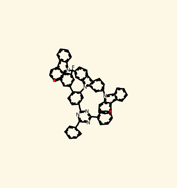 Fc1cc(F)cc(-c2ccc(-c3nc(-c4ccccc4)nc(-c4ccccc4)n3)cc2-n2c3cc(-n4c5ccccc5c5ccccc54)ccc3c3ccc(-n4c5ccccc5c5ccccc54)cc32)c1